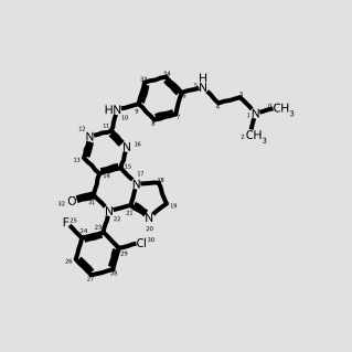 CN(C)CCNc1ccc(Nc2ncc3c(n2)N2CCN=C2N(c2c(F)cccc2Cl)C3=O)cc1